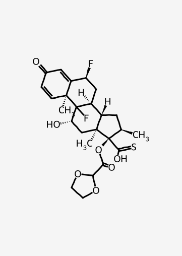 C[C@@H]1C[C@H]2[C@@H]3C[C@H](F)C4=CC(=O)C=C[C@]4(C)C3(F)[C@@H](O)C[C@]2(C)[C@@]1(OC(=O)C1OCCO1)C(O)=S